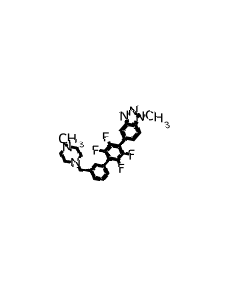 CN1CCN(Cc2cccc(-c3c(F)c(F)c(-c4ccc5c(c4)nnn5C)c(F)c3F)c2)CC1